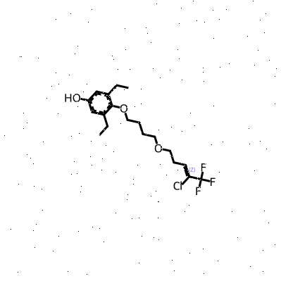 CCc1cc(O)cc(CC)c1OCCCCOCC/C=C(\Cl)C(F)(F)F